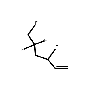 C=CC(F)CC(F)(F)CF